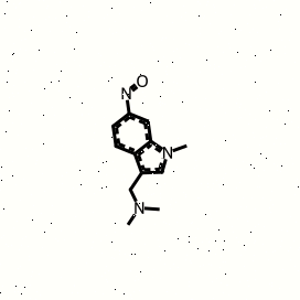 CN(C)Cc1cn(C)c2cc(N=O)ccc12